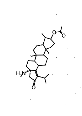 CC(=O)OC1CCC2(C)C(CCC3(C)C4CCC5(N)CC(=O)C(C(C)C)=C5C4CCC32)C1C